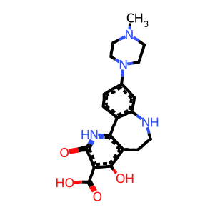 CN1CCN(c2ccc3c(c2)NCCc2c-3[nH]c(=O)c(C(=O)O)c2O)CC1